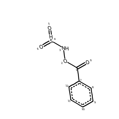 O=C(ON[SH](=O)=O)c1ccccc1